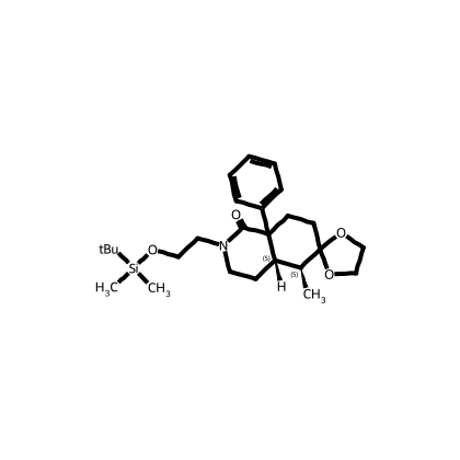 C[C@H]1[C@@H]2CCN(CCO[Si](C)(C)C(C)(C)C)C(=O)C2(c2ccccc2)CCC12OCCO2